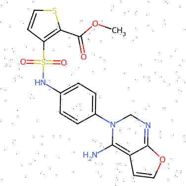 COC(=O)c1sccc1S(=O)(=O)Nc1ccc(N2CN=c3occc3=C2N)cc1